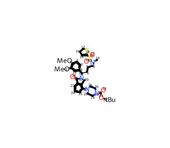 COc1ccc([C@@H](CCCN(C)S(=O)(=O)C2=CCCS2)N2Cc3c(cccc3N3CCN(C(=O)OC(C)(C)C)CC3)C2=O)cc1OC